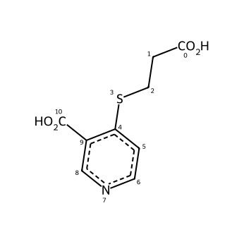 O=C(O)CCSc1ccncc1C(=O)O